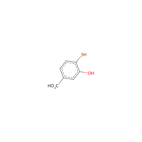 O=C(O)c1ccc(S)c(O)c1